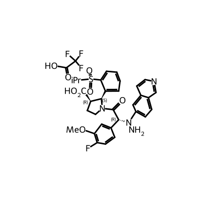 COc1cc([C@H](C(=O)N2CC[C@@H](C(=O)O)[C@H]2c2ccccc2S(=O)(=O)C(C)C)N(N)c2ccc3cnccc3c2)ccc1F.O=C(O)C(F)(F)F